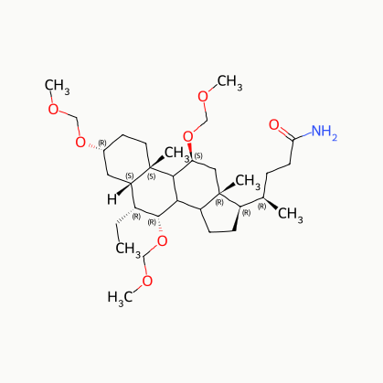 CC[C@H]1[C@@H](OCOC)C2C3CC[C@H]([C@H](C)CCC(N)=O)[C@@]3(C)C[C@H](OCOC)C2[C@@]2(C)CC[C@@H](OCOC)C[C@@H]12